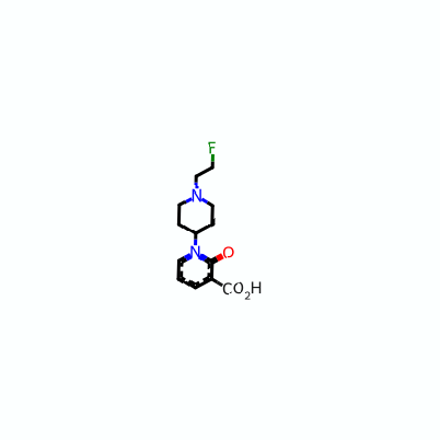 O=C(O)c1cccn(C2CCN(CCF)CC2)c1=O